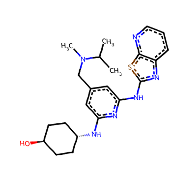 CC(C)N(C)Cc1cc(Nc2nc3cccnc3s2)nc(N[C@H]2CC[C@H](O)CC2)c1